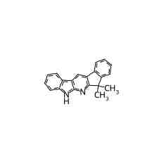 CC1(C)c2ccccc2-c2cc3c(nc21)[nH]c1ccccc13